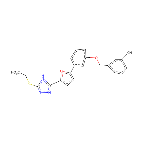 N#Cc1cccc(COc2cccc(-c3ccc(-c4nnc(SCC(=O)O)[nH]4)o3)c2)c1